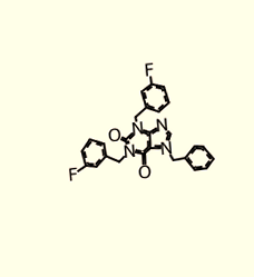 O=c1c2c(ncn2Cc2ccccc2)n(Cc2cccc(F)c2)c(=O)n1Cc1cccc(F)c1